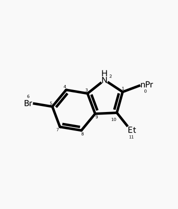 CCCc1[nH]c2cc(Br)ccc2c1CC